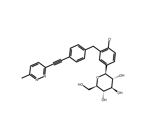 Cc1ccc(C#Cc2ccc(Cc3cc([C@@H]4O[C@H](CO)[C@@H](O)[C@H](O)[C@H]4O)ccc3Cl)cc2)nn1